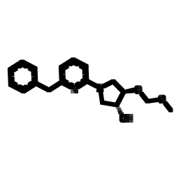 COCO[C@@H]1CN(c2cccc(Cc3ccccc3)n2)C[C@H]1O